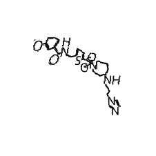 COc1cccc(C(=O)NCc2ccc(S(=O)(=O)N3CCCC(NCCCn4ccnc4)CC3)s2)c1